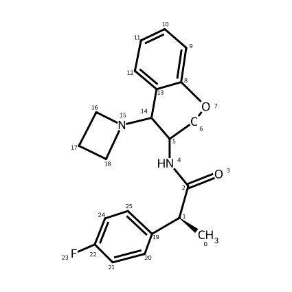 C[C@H](C(=O)NC1COc2ccccc2C1N1CCC1)c1ccc(F)cc1